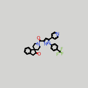 O=C(c1cc(-c2ccncc2)n(-c2ccc(C(F)(F)F)cc2)n1)N1CCC2(CC1)C(=O)Cc1ccccc12